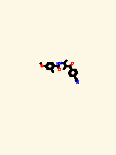 COc1ccc(C(=O)NC(C)C(C)C(=O)c2ccc(C#N)cc2)c(C)c1